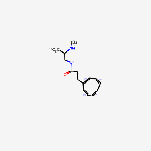 CC(C)(C)NC(CNC(=O)CCC1=C/C=C\C=C/C=C\1)C(=O)O